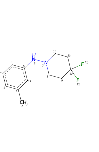 Cc1cccc(NN2CCC(F)(F)CC2)c1